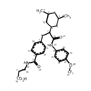 CC1CC(C)CC(C(Cc2ccc(C(=O)NCCC(=O)O)cc2)C(=O)Nc2ccc(OC(F)(F)F)cc2)C1